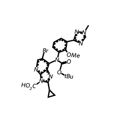 COc1c(-c2ncn(C)n2)cccc1N(C(=O)OC(C)(C)C)c1c(Br)cnc2c1nc(C1CC1)n2C(=O)O